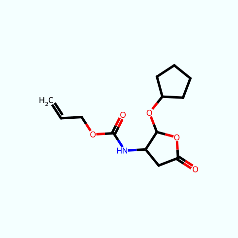 C=CCOC(=O)NC1CC(=O)OC1OC1CCCC1